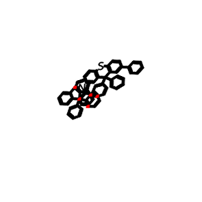 c1ccc(-c2ccc3c(c2)C(c2ccccc2)(c2ccccc2)c2cc(N(Cc4ccccc4C4(c5ccccc5)c5ccccc5-c5ccccc54)c4ccccc4)ccc2S3)cc1